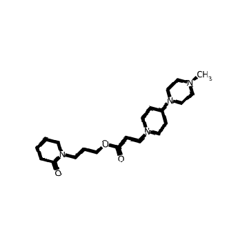 CN1CCN(C2CCN(CCC(=O)OCCCN3CCCCC3=O)CC2)CC1